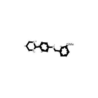 CSc1cccc(COc2ccc(C3SCCCS3)cc2)c1